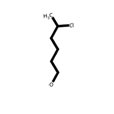 CC(Cl)CCCC[O]